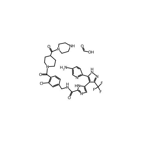 Nc1ccc(-c2[nH]nc(C(F)(F)F)c2-c2cnc(C(=O)NCc3ccc(C(=O)N4CCC(C(=O)N5CCNCC5)CC4)c(Cl)c3)[nH]2)nc1.O=CO